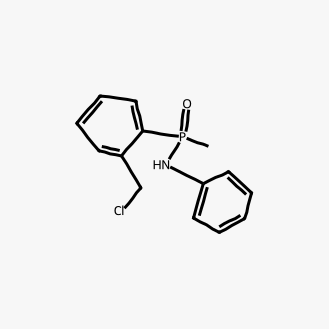 CP(=O)(Nc1ccccc1)c1ccccc1CCl